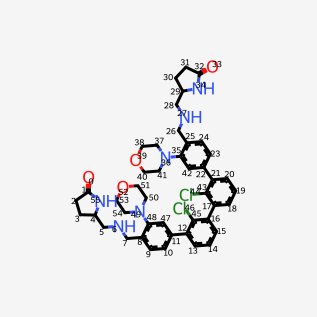 O=C1CCC(CNCc2ccc(-c3cccc(-c4cccc(-c5ccc(CNCC6CCC(=O)N6)c(N6CCOCC6)c5)c4Cl)c3Cl)cc2N2CCOCC2)N1